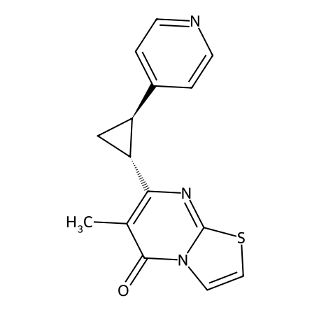 Cc1c([C@@H]2C[C@H]2c2ccncc2)nc2sccn2c1=O